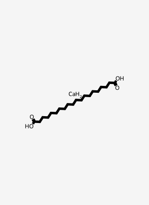 O=C(O)CCCCCCCCCCCCCCCCCCC(=O)O.[CaH2]